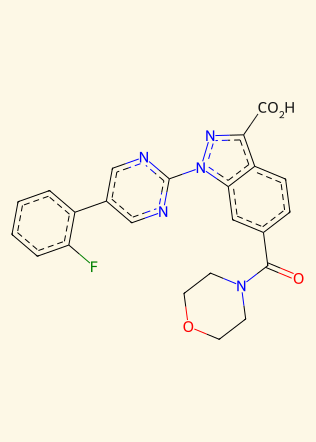 O=C(O)c1nn(-c2ncc(-c3ccccc3F)cn2)c2cc(C(=O)N3CCOCC3)ccc12